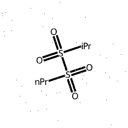 CCCS(=O)(=O)S(=O)(=O)C(C)C